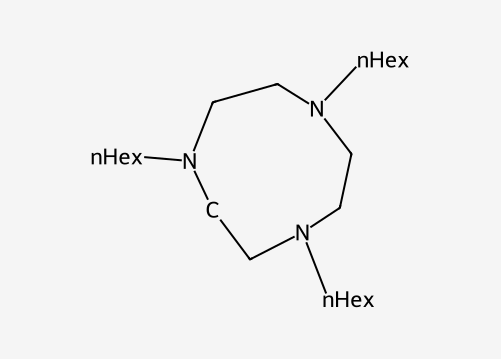 CCCCCCN1CCN(CCCCCC)CCN(CCCCCC)CC1